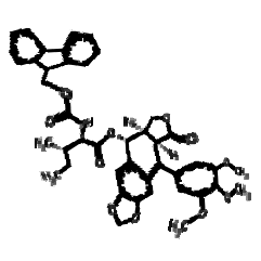 CC[C@H](C)[C@@H](NC(=O)OCC1c2ccccc2-c2ccccc21)C(=O)O[C@H]1c2cc3c(cc2C(c2cc(OC)c(OC)c(OC)c2)[C@@H]2C(=O)OC[C@H]12)OCO3